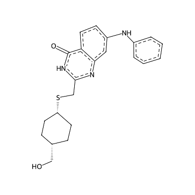 O=c1[nH]c(CS[C@H]2CC[C@@H](CO)CC2)nc2cc(Nc3ccccc3)ccc12